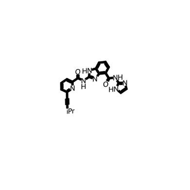 CC(C)C#Cc1cccc(C(=O)Nc2nc3c(C(=O)Nc4ncc[nH]4)cccc3[nH]2)n1